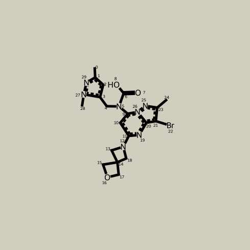 Cc1cc(CN(C(=O)O)c2cc(N3CC4(COC4)C3)nc3c(Br)c(C)nn23)n(C)n1